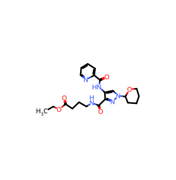 CCOC(=O)CCCNC(=O)c1nn(C2CCCCO2)cc1NC(=O)c1ccccn1